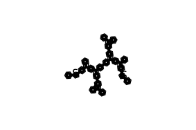 c1ccc(-c2ccc(-c3ccc(N(c4ccccc4)c4ccc(N(c5ccc(-c6ccc(N(c7ccc(-c8ccc9c(c8)c8ccccc8n9-c8ccccc8)cc7)c7ccc(N(c8ccccc8)c8ccc(-c9ccc(-c%10ccccc%10)s9)cc8)cc7)cc6)cc5)c5ccc(-c6ccc7c(c6)c6ccccc6n7-c6ccccc6)cc5)cc4)cc3)s2)cc1